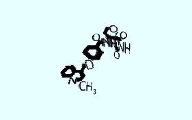 Cc1cc(COc2ccc(C(=O)N[C@H]3CCOC[C@]34NC(=O)NC4=O)cc2)c2ccccc2n1